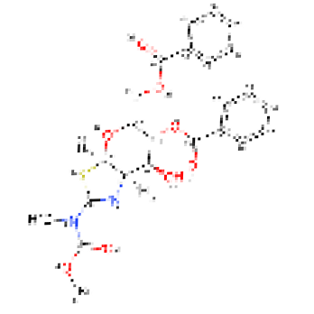 CN(C(=O)OC(C)(C)C)C1=N[C@@H]2[C@H](O)[C@@H](OC(=O)c3ccccc3)[C@@H](COC(=O)c3ccccc3)O[C@@H]2S1